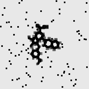 COc1cccc(Cn2c(C)c(C)c3cc(C(=O)O)nc(N4CCc5ccccc5C4)c32)c1